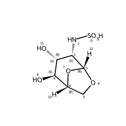 O=S(=O)(O)N[C@@H]1[C@@H]2OC[C@@H](O2)[C@@H](O)[C@@H]1O